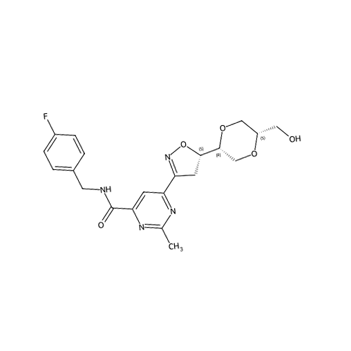 Cc1nc(C(=O)NCc2ccc(F)cc2)cc(C2=NO[C@H]([C@H]3CO[C@@H](CO)CO3)C2)n1